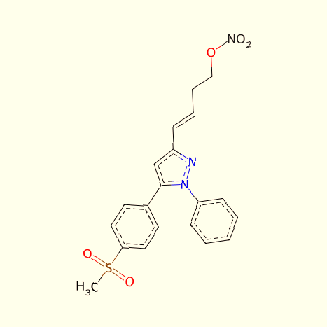 CS(=O)(=O)c1ccc(-c2cc(/C=C/CCO[N+](=O)[O-])nn2-c2ccccc2)cc1